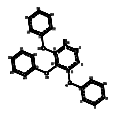 c1ccc(On2pn[pH]n(Oc3ccccc3)p2Oc2ccccc2)cc1